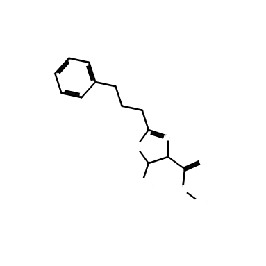 COC(=O)C1N=C(CCCc2ccccc2)OC1C